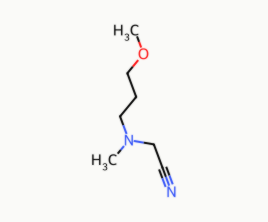 COCCCN(C)CC#N